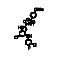 COc1ccc(S(=O)(=O)NC(=O)c2cc3c(Nc4ccc(F)c(Cl)c4)cc(Cl)cc3[nH]2)cc1